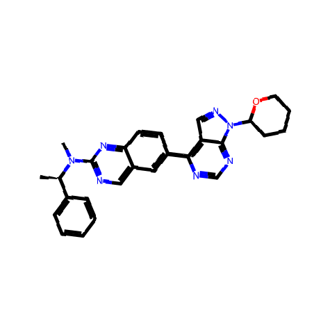 C[C@H](c1ccccc1)N(C)c1ncc2cc(-c3ncnc4c3cnn4C3CCCCO3)ccc2n1